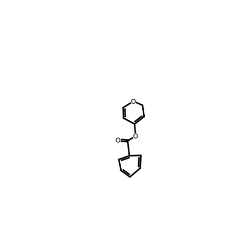 O=C(OC1=CCOC=C1)c1ccccc1